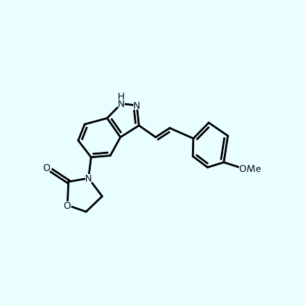 COc1ccc(C=Cc2n[nH]c3ccc(N4CCOC4=O)cc23)cc1